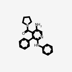 Nc1[c]nc(Nc2ccccc2)c(-c2ccccc2)c1C(=O)N1CCCC1